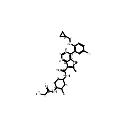 Cc1[nH]c2c(-c3cc(F)ccc3OCC3CC3)ncnc2c1C(=O)NC1CCC(NC(=O)CO)C(C)C1